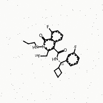 CCCNn1c(C[18F])c(C(=O)N[C@H](c2cccc(F)c2)C2CCC2)c2cccc(F)c2c1=O